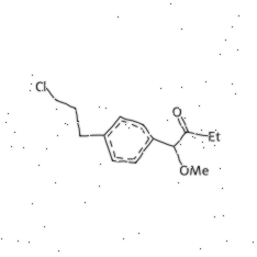 CCC(=O)C(OC)c1ccc(CCCCl)cc1